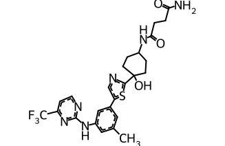 Cc1cc(Nc2nccc(C(F)(F)F)n2)cc(-c2cnc(C3(O)CCC(NC(=O)CCC(N)=O)CC3)s2)c1